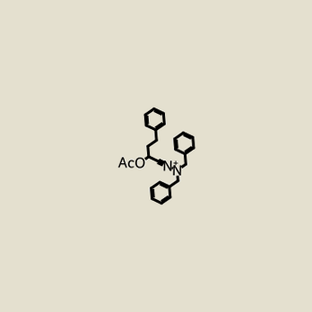 CC(=O)OC(C#[N+]N(Cc1ccccc1)Cc1ccccc1)CCc1ccccc1